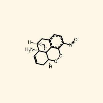 N[C@@]12C=CC[C@@H]3OOc4c(N=O)ccc5c4[C@@]31CCC[C@@H]2C5